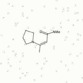 CNC(=O)/C=C(/C)N1CCCC1